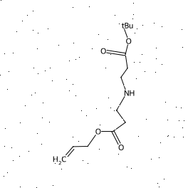 C=CCOC(=O)CCNCCC(=O)OC(C)(C)C